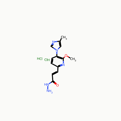 COc1nc(C=CC(=O)NN)ccc1-n1cnc(C)c1.Cl.Cl